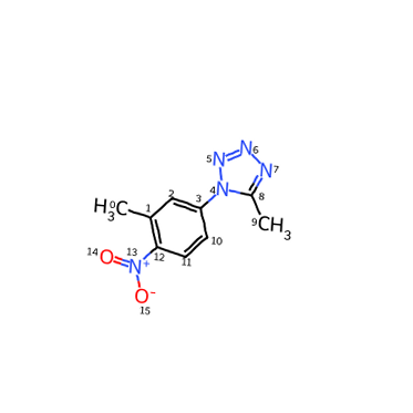 Cc1cc(-n2nnnc2C)ccc1[N+](=O)[O-]